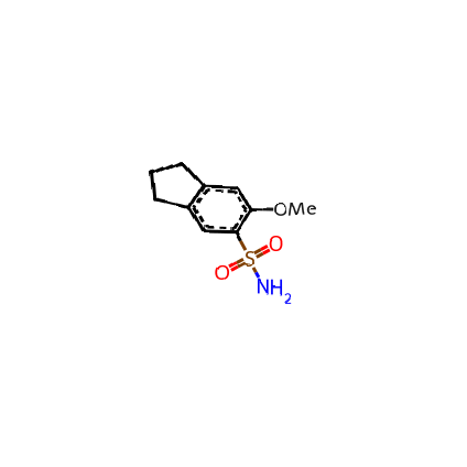 COc1cc2c(cc1S(N)(=O)=O)CCC2